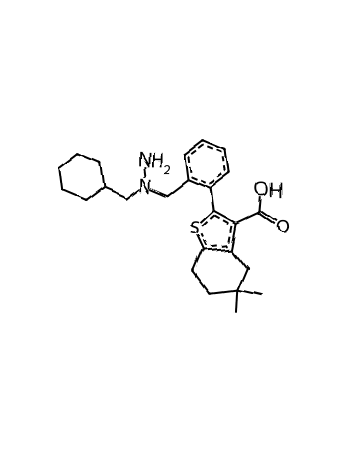 CC1(C)CCc2sc(-c3ccccc3CN(N)CC3CCCCC3)c(C(=O)O)c2C1